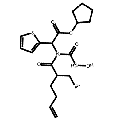 C=CCCC(CC(C)C)C(=O)N(C(=O)NO)C(C(=O)OC1CCCC1)c1cccs1